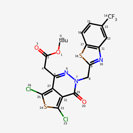 CC(C)(C)OC(=O)Cc1nn(Cc2nc3cc(C(F)(F)F)ccc3s2)c(=O)c2c(Cl)sc(Cl)c12